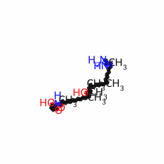 C\C(=C/C=C/C=C/C=C/C=C/C(C)C(O)/C(C)=C/C(C)CCC/C=C/C(C)C/C=C/CCCN(C)C(=N)CN)C(=O)NC1=C(O)CCC1=O